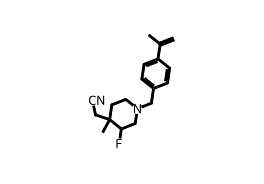 C=C(C)c1ccc(CN2CCC(C)(CC#N)C(F)C2)cc1